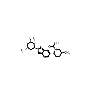 C[C@@H]1C[C@@H](n2cc3ccc([C@H]4CC[C@H](C)CN4C(=O)O)cc3n2)CN(C)C1